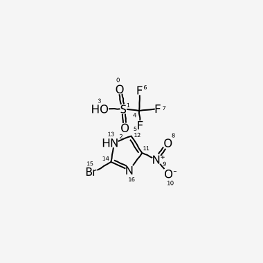 O=S(=O)(O)C(F)(F)F.O=[N+]([O-])c1c[nH]c(Br)n1